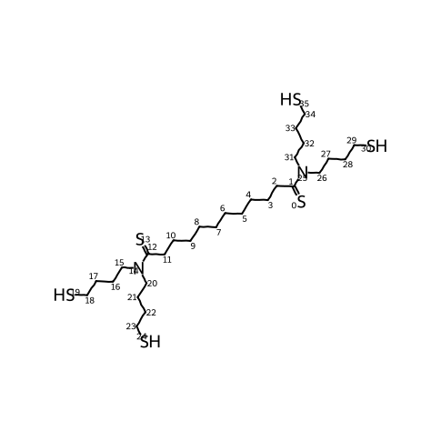 S=C(CCCCCCCCCCC(=S)N(CCCCS)CCCCS)N(CCCCS)CCCCS